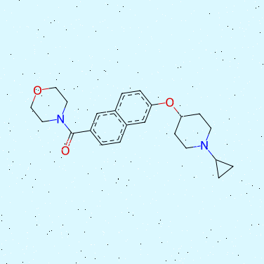 O=C(c1ccc2cc(OC3CCN(C4CC4)CC3)ccc2c1)N1CCOCC1